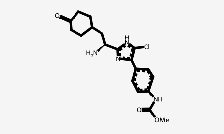 COC(=O)Nc1ccc(-c2nc([C@@H](N)CC3CCC(=O)CC3)[nH]c2Cl)cc1